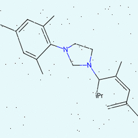 C=C(C)/C=C(/C)C(C(C)C)N1CCN(c2c(C)cc(C)cc2C)C1